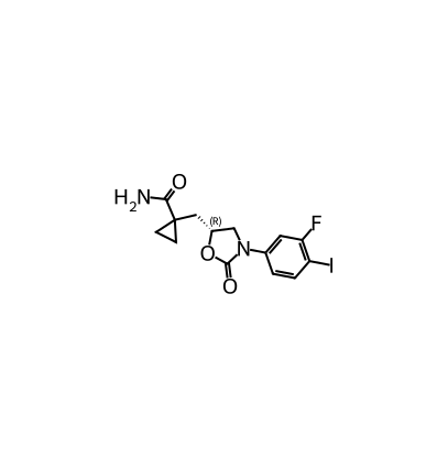 NC(=O)C1(C[C@@H]2CN(c3ccc(I)c(F)c3)C(=O)O2)CC1